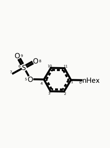 [CH2]CCCCCc1ccc(OS(C)(=O)=O)cc1